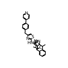 CC12CC(C)(C(=O)Nc3nc(Cc4ccc(-c5ccncc5)cc4)cs3)C(c3ccccc31)n1cnnc12